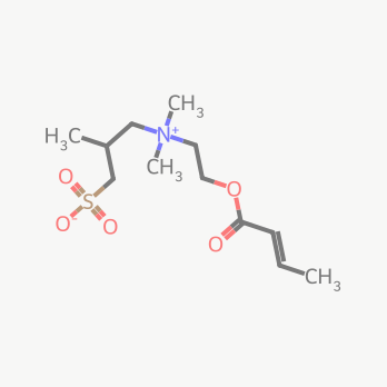 CC=CC(=O)OCC[N+](C)(C)CC(C)CS(=O)(=O)[O-]